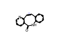 O=C1Nc2ccccc2/C=C\c2ncccc21